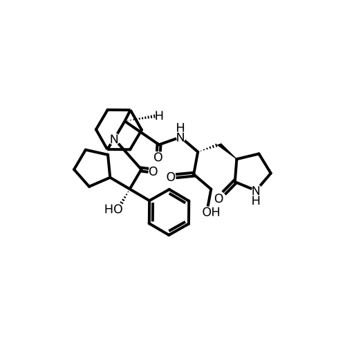 O=C1NCC[C@@H]1C[C@@H](NC(=O)[C@@H]1C2CCC(CC2)N1C(=O)[C@@](O)(c1ccccc1)C1CCCC1)C(=O)CO